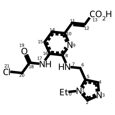 CCn1cncc1CNc1nc(/C=C/C(=O)O)ccc1NC(=O)CCl